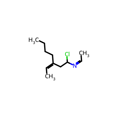 C/C=N\C(Cl)C/C(=C\C)CCCC